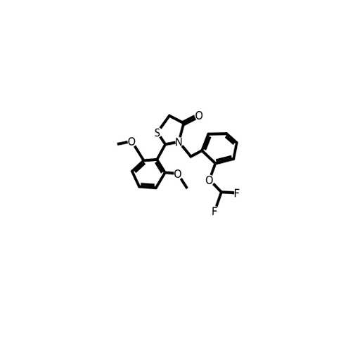 COc1cccc(OC)c1C1SCC(=O)N1Cc1ccccc1OC(F)F